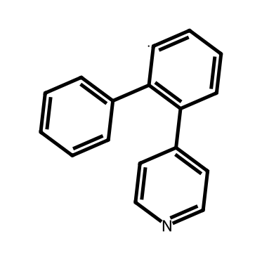 [c]1cccc(-c2ccncc2)c1-c1ccccc1